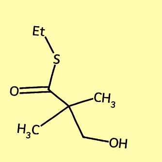 [CH2]CSC(=O)C(C)(C)CO